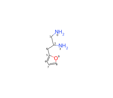 NCC(N)Cc1ccco1